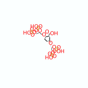 O=C(O)c1cc(OC[C@@H](COS(=O)(=O)O)OS(=O)(=O)O)ccc1OC[C@@H](COS(=O)(=O)O)OS(=O)(=O)O